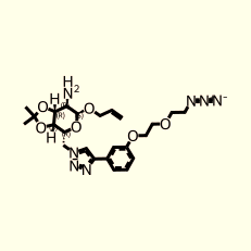 C=CCO[C@H]1O[C@H](Cn2cc(-c3cccc(OCCOCCN=[N+]=[N-])c3)nn2)[C@@H]2OC(C)(C)O[C@@H]2[C@H]1N